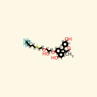 CC1(c2ccc(O)cc2)COc2cc(O)ccc2C1c1ccc(OC[C@H](O)COCCSCCCC(F)(F)C(F)(F)F)cc1